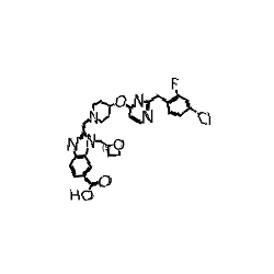 O=C(O)c1ccc2nc(CN3CCC(Oc4ccnc(Cc5ccc(Cl)cc5F)n4)CC3)n(C[C@@H]3CCO3)c2c1